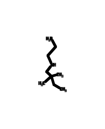 BCCNCC(C)(C)CC